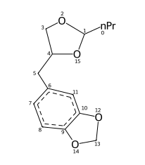 CCCC1OCC(Cc2ccc3c(c2)OCO3)O1